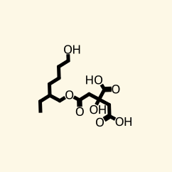 CCC(CCCCO)COC(=O)CC(O)(CC(=O)O)C(=O)O